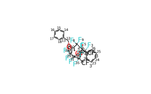 FC(F)(F)C(F)(F)C(F)(F)[C](F)(F)[Sn]([O]Cc1ccccc1)([O]Cc1ccccc1)[C](F)(F)C(F)(F)C(F)(F)C(F)(F)F